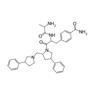 CC(N)C(=O)NC(Cc1ccc(C(N)=O)cc1)C(=O)N1CC(c2ccccc2)CC1CN1CCC(c2ccccc2)C1